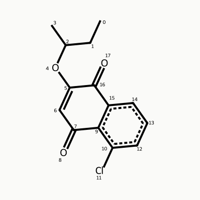 CCC(C)OC1=CC(=O)c2c(Cl)cccc2C1=O